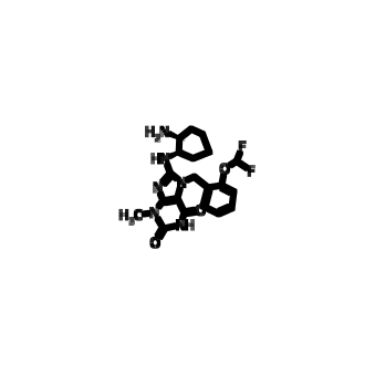 Cn1c(=O)[nH]c(=O)c2c1nc(N[C@@H]1CCCC[C@@H]1N)n2Cc1ccccc1OC(F)F